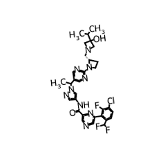 CC(c1cnc(N2CC[C@H]2CN2CC(O)(C(C)C)C2)nc1)n1cc(NC(=O)c2cncc(-c3c(C(F)F)ccc(Cl)c3F)n2)cn1